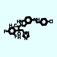 C[C@@H](N1Cc2cc(NCc3ccc(Cl)cc3)ccc2N1)[C@](O)(Cn1cncn1)c1ccc(F)cc1F